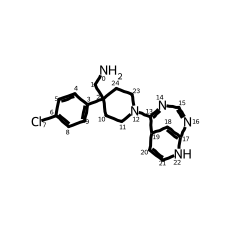 NCC1(c2ccc(Cl)cc2)CCN(C2=NC=NC3=CC2C=CN3)CC1